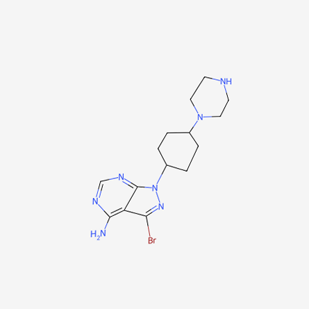 Nc1ncnc2c1c(Br)nn2C1CCC(N2CCNCC2)CC1